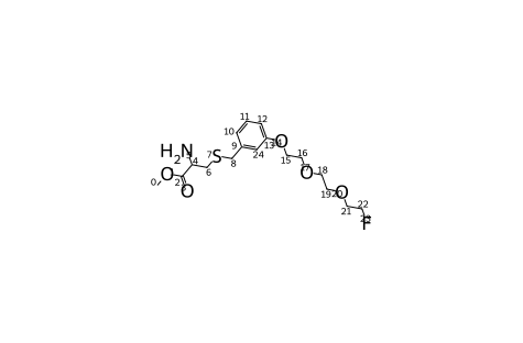 COC(=O)C(N)CSCc1cccc(OCCOCCOCCF)c1